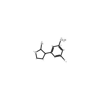 CCC1OCCC1c1cc(F)cc(C(=O)O)c1